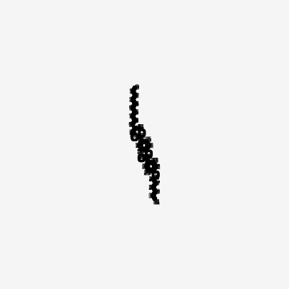 CCCCCCCCCC[C@H]1CO[C@H](c2ccc(OC(=O)c3ccc(OCCCCCC)cc3)cc2)OC1